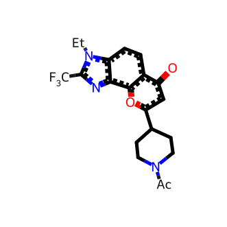 CCn1c(C(F)(F)F)nc2c3oc(C4CCN(C(C)=O)CC4)cc(=O)c3ccc21